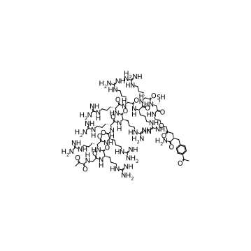 CC(=O)C(=O)NCC(=O)N[C@H](CCCNC(=N)N)C(=O)N[C@H](CCCNC(=N)N)C(=O)N[C@H](CCCNC(=N)N)C(=O)N[C@H](CCCNC(=N)N)C(=O)N[C@H](CCCNC(=N)N)C(=O)N[C@H](CCCNC(=N)N)C(=O)N[C@H](CCCNC(=N)N)C(=O)N[C@H](CCCNC(=N)N)C(=O)N[C@H](CCCNC(=N)N)C(=O)N[C@H](CS)C(=O)NCCOCC(=O)C[C@@H](Cc1ccc(C(C)=O)cc1)C(N)=O